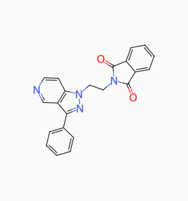 O=C1c2ccccc2C(=O)N1CCn1nc(-c2ccccc2)c2cnccc21